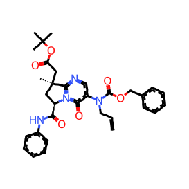 C=CCN(C(=O)OCc1ccccc1)c1cnc2n(c1=O)[C@@H](C(=O)Nc1ccccc1)C[C@@]2(C)CC(=O)OC(C)(C)C